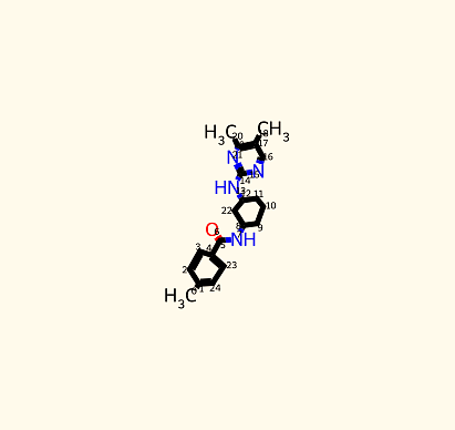 Cc1ccc(C(=O)NC2CCCC(Nc3ncc(C)c(C)n3)C2)cc1